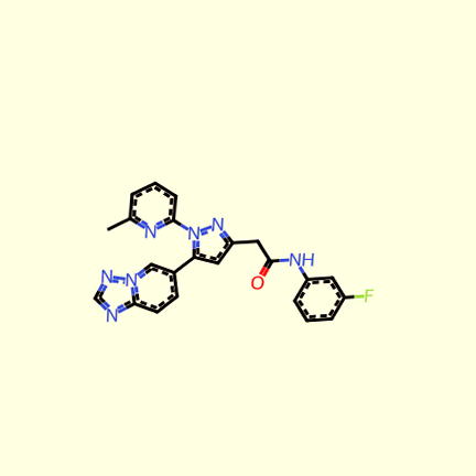 Cc1cccc(-n2nc(CC(=O)Nc3cccc(F)c3)cc2-c2ccc3ncnn3c2)n1